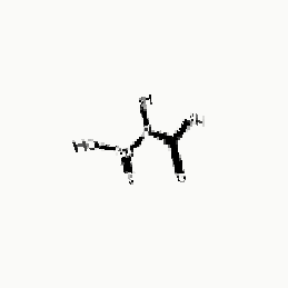 O=C(S)[N](S)[Mo]([OH])=[S]